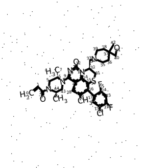 C=CC(=O)N1C[C@H](C)N(c2nc(=O)n3c4c(c(-c5cc(Cl)c(F)cc5F)c(C)cc24)SC[C@@H]3CN2CCC3(CC2)COC3)C[C@H]1C